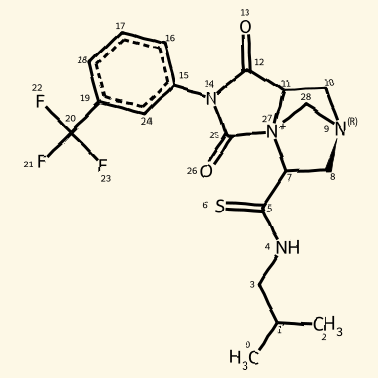 CC(C)CNC(=S)C1C[N@]2CC3C(=O)N(c4cccc(C(F)(F)F)c4)C(=O)[N+]31C2